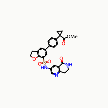 COC(=O)C1(c2ccc(-c3cc4c(c(S(=O)(=O)Nc5cnc6c(c5)C(=O)NCC6)c3)OCC4)cc2)CC1